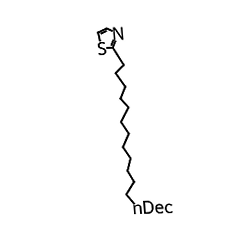 CCCCCCCCCCCCCCCCCCCCCCc1nccs1